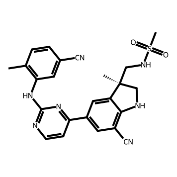 Cc1ccc(C#N)cc1Nc1nccc(-c2cc(C#N)c3c(c2)[C@@](C)(CNS(C)(=O)=O)CN3)n1